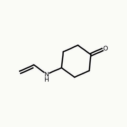 C=CNC1CCC(=O)CC1